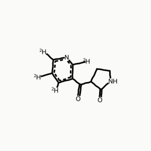 [2H]c1nc([2H])c(C(=O)C2CCNC2=O)c([2H])c1[2H]